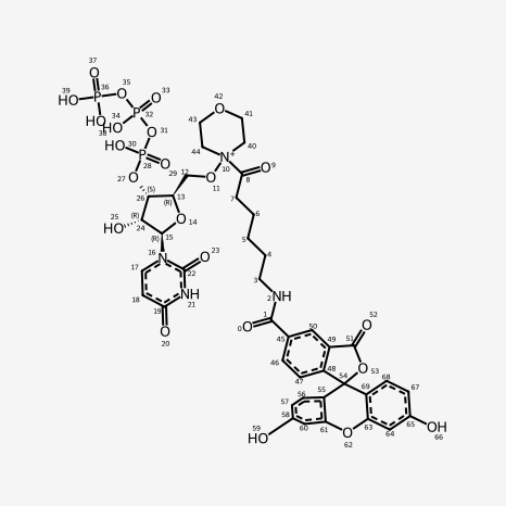 O=C(NCCCCCC(=O)[N+]1(OC[C@H]2O[C@@H](n3ccc(=O)[nH]c3=O)[C@H](O)[C@@H]2OP(=O)(O)OP(=O)(O)OP(=O)(O)O)CCOCC1)c1ccc2c(c1)C(=O)OC21c2ccc(O)cc2Oc2cc(O)ccc21